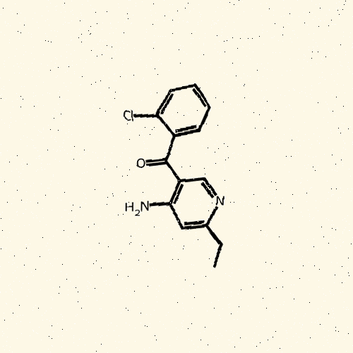 CCc1cc(N)c(C(=O)c2ccccc2Cl)cn1